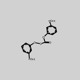 CCCCCCCCc1cccc(OOC(=O)Oc2cccc(CCCCCCCC)c2)c1